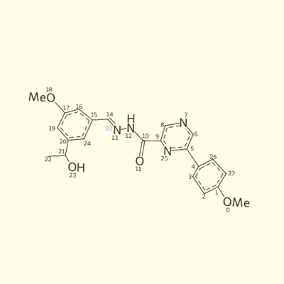 COc1ccc(-c2cncc(C(=O)N/N=C/c3cc(OC)cc(C(C)O)c3)n2)cc1